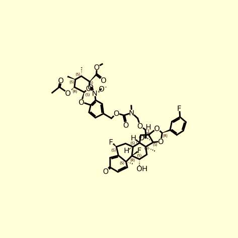 COC(=O)[C@H]1O[C@@H](Oc2ccc(COC(=O)N(C)COCC(=O)[C@@]34O[C@H](c5cccc(F)c5)O[C@@H]3C[C@H]3[C@@H]5C[C@H](F)C6=CC(=O)C=C[C@]6(C)[C@@]5(F)[C@@H](O)C[C@@]34C)cc2[N+](=O)[O-])[C@H](OC(C)=O)[C@@H](C)[C@@H]1C